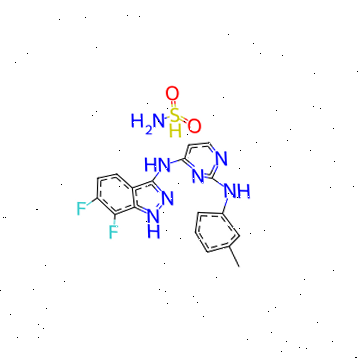 Cc1cccc(Nc2nccc(Nc3n[nH]c4c(F)c(F)ccc34)n2)c1.N[SH](=O)=O